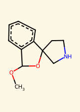 COC1OC2(CCNC2)c2ccccc21